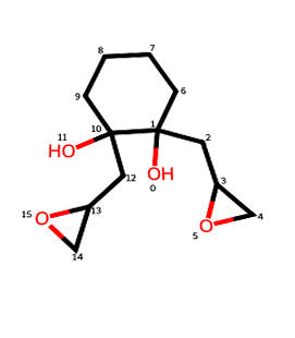 OC1(CC2CO2)CCCCC1(O)CC1CO1